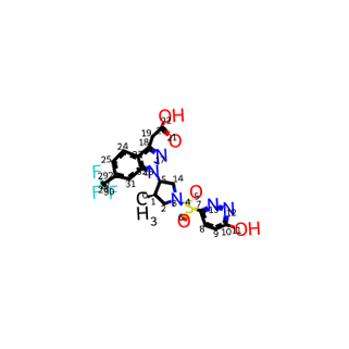 C[C@@H]1CN(S(=O)(=O)c2ccc(O)nn2)C[C@@H]1n1nc(CC(=O)O)c2ccc(C(F)(F)F)cc21